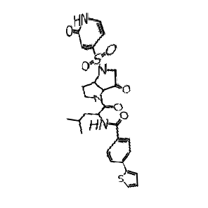 CC(C)CC(NC(=O)c1ccc(-c2cccs2)cc1)C(=O)N1CCC2C1C(=O)CN2S(=O)(=O)c1cc[nH]c(=O)c1